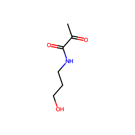 CC(=O)C(=O)NCCCO